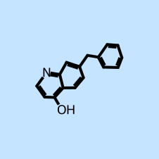 Oc1ccnc2cc(Cc3ccccc3)ccc12